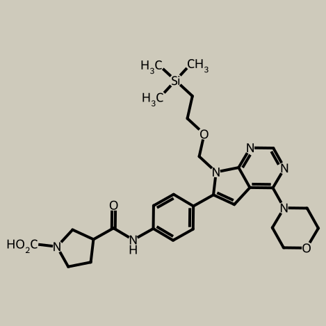 C[Si](C)(C)CCOCn1c(-c2ccc(NC(=O)C3CCN(C(=O)O)C3)cc2)cc2c(N3CCOCC3)ncnc21